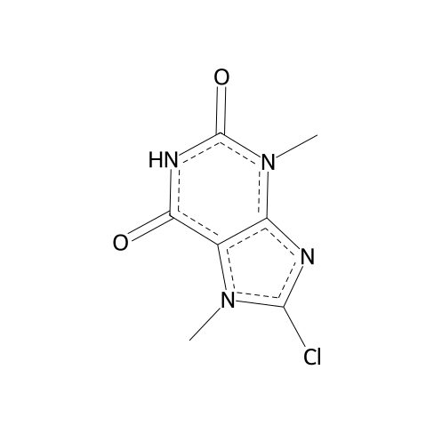 Cn1c(Cl)nc2c1c(=O)[nH]c(=O)n2C